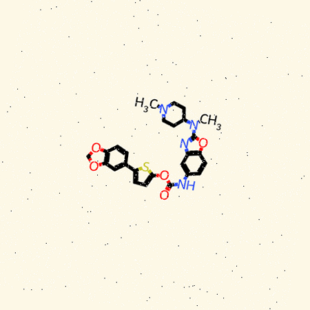 CN1CCC(N(C)c2nc3cc(NC(=O)Oc4ccc(-c5ccc6c(c5)OCO6)s4)ccc3o2)CC1